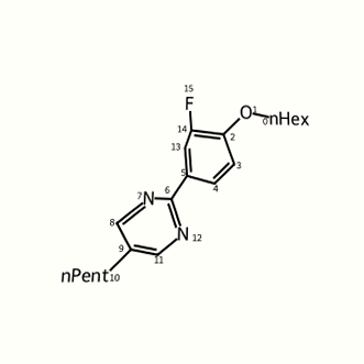 CCCCCCOc1ccc(-c2ncc(CCCCC)cn2)cc1F